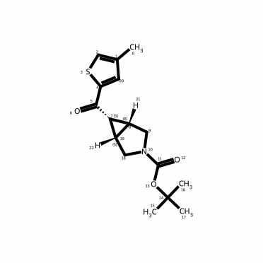 Cc1csc(C(=O)[C@@H]2[C@@H]3CN(C(=O)OC(C)(C)C)C[C@@H]32)c1